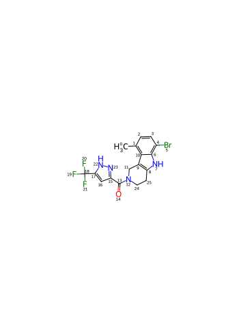 Cc1ccc(Br)c2[nH]c3c(c12)CN(C(=O)c1cc(C(F)(F)F)[nH]n1)CC3